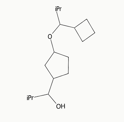 CC(C)C(O)C1CCC(OC(C(C)C)C2CCC2)C1